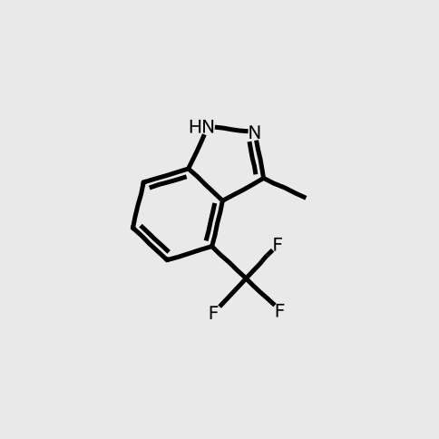 Cc1n[nH]c2cccc(C(F)(F)F)c12